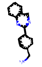 NCc1ccc(-c2ncc3ccccc3n2)cc1